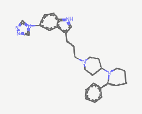 c1ccc(C2CCCCN2C2CCN(CCCc3c[nH]c4ccc(-n5cnnc5)cc34)CC2)cc1